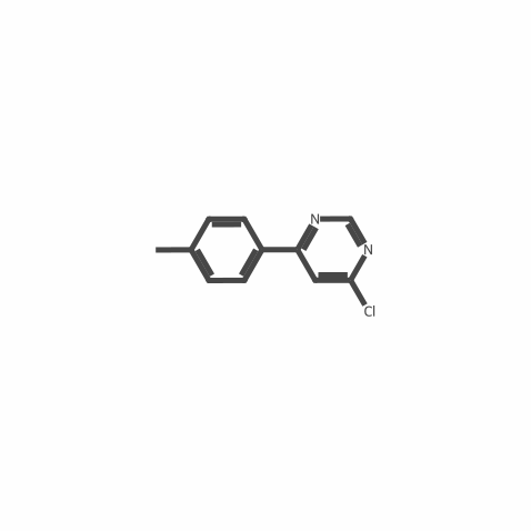 Cc1ccc(-c2cc(Cl)ncn2)cc1